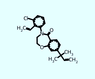 C=Cc1c(Cl)cccc1N1CCOc2cc(C(C)(C)C=C)ccc2C1=O